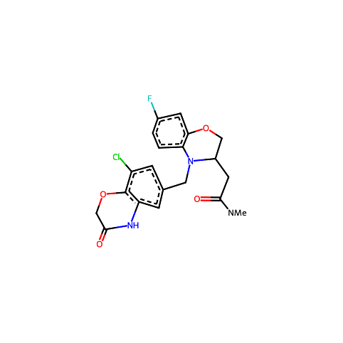 CNC(=O)CC1COc2cc(F)ccc2N1Cc1cc(Cl)c2c(c1)NC(=O)CO2